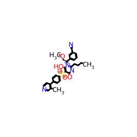 CCCCc1nc(=O)c(S(=O)(=O)c2ccc(-c3ccncc3C)cc2)c(O)n1[C@@H](COC)c1cccc(C#N)c1